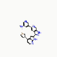 CN(C)c1cncc(-c2cc3c(-c4cc5c(-c6ccsc6)ccnc5[nH]4)n[nH]c3cn2)c1